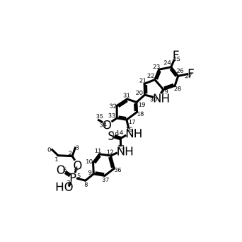 CCC(C)OP(=O)(O)Cc1ccc(NC(=S)Nc2cc(-c3cc4cc(F)c(F)cc4[nH]3)ccc2OC)cc1